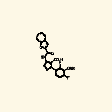 COc1c(F)ccc(-c2scc(NC(=O)c3cc4ccccc4o3)c2C(=O)O)c1F